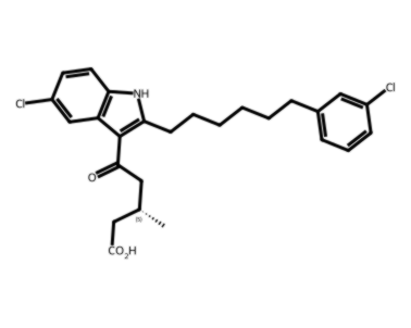 C[C@H](CC(=O)O)CC(=O)c1c(CCCCCCc2cccc(Cl)c2)[nH]c2ccc(Cl)cc12